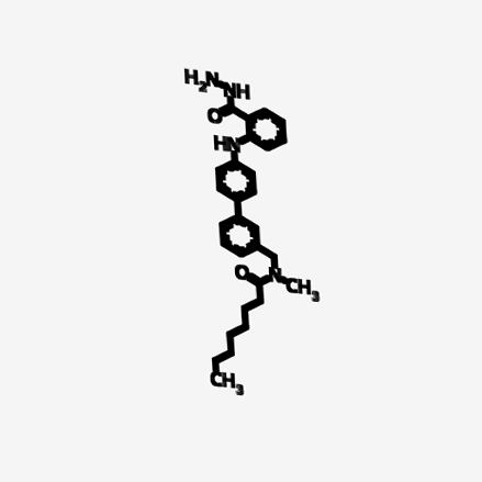 CCCCCCCC(=O)N(C)Cc1cccc(-c2ccc(Nc3ccccc3C(=O)NN)cc2)c1